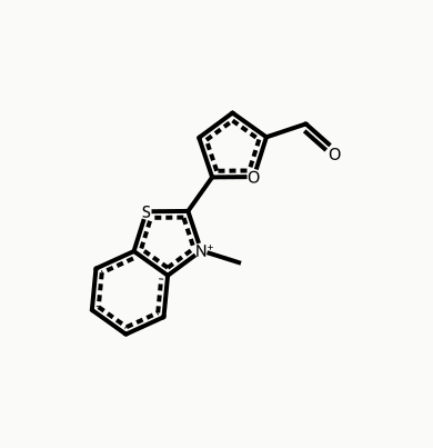 C[n+]1c(-c2ccc(C=O)o2)sc2ccccc21